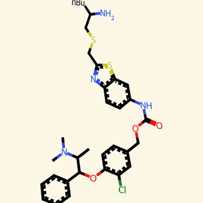 CCCCC(N)CSCc1nc2ccc(NC(=O)OCc3ccc(OC(c4ccccc4)C(C)N(C)C)c(Cl)c3)cc2s1